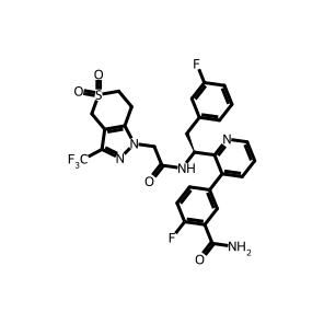 NC(=O)c1cc(-c2cccnc2[C@H](Cc2cccc(F)c2)NC(=O)Cn2nc(C(F)(F)F)c3c2CCS(=O)(=O)C3)ccc1F